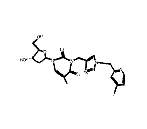 Cc1cn(C2C[C@H](O)C(CO)O2)c(=O)n(Cc2cn(Cc3cc(F)ccn3)nn2)c1=O